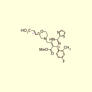 COC(=O)C1=C(CN2CCO[C@H](/C=C/C(=O)O)C2)NC(c2nccs2)=N[C@H]1c1ccc(F)cc1C